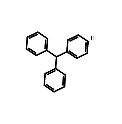 I.c1ccc(C(c2ccccc2)c2ccccc2)cc1